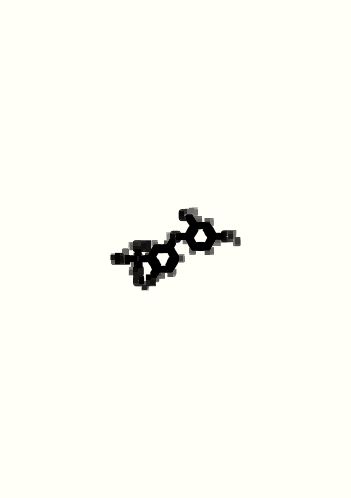 CC(C)(C)P(=O)(O)c1cc(Oc2ccc(C(F)(F)F)cc2Cl)ccc1[N+](=O)[O-]